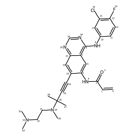 C=CC(=O)Nc1cc2c(Nc3ccc(F)c(Cl)c3)ncnc2cc1C#CC(C)(C)N(C)CCN(C)C